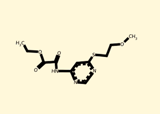 CCOC(=O)C(=O)Nc1cc(SCCOC)ncn1